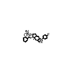 CN(C)C(=O)NC(C[C@H]1CCC2=Cc3c(cnn3-c3ccc(F)cc3)C[C@@]21C)c1ccccc1